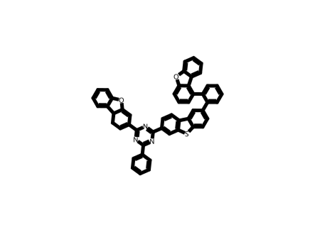 C1=C(c2nc(-c3ccccc3)nc(-c3ccc4c(c3)sc3ccc(-c5ccccc5-c5cccc6oc7ccccc7c56)cc34)n2)C=C2Oc3ccccc3C2C1